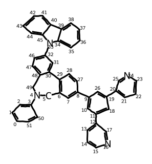 c1ccc(N2Cc3cc(-c4cc(-c5cccnc5)cc(-c5cccnc5)c4)ccc3-c3cc(-n4c5ccccc5c5ccccc54)ccc3C2)cc1